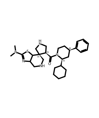 CN(C)C1=NC2CNC[C@]3(CNC[C@H]3C(=O)N3CC[C@@H](c4ccccc4)C[C@H]3C3CCCCC3)C2S1